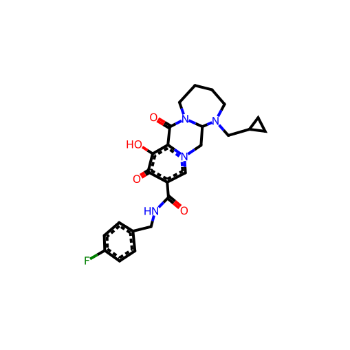 O=C(NCc1ccc(F)cc1)c1cn2c(c(O)c1=O)C(=O)N1CCCCN(CC3CC3)C1C2